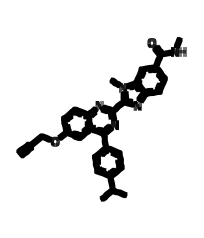 C#CCOc1ccc2nc(-c3nc4ccc(C(=O)NC)cc4n3C)nc(-c3ccc(C(C)C)cc3)c2c1